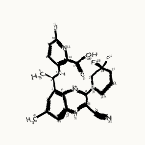 Cc1cc([C@@H](C)Nc2ccc(Cl)nc2C(=O)O)c2nc(N3CCCC(F)(F)C3)c(C#N)nc2c1